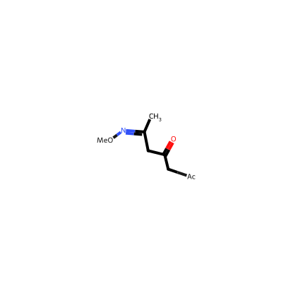 CON=C(C)CC(=O)CC(C)=O